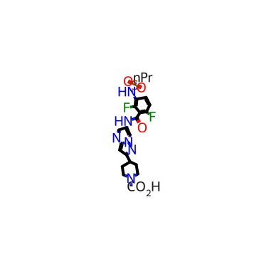 CCCS(=O)(=O)Nc1ccc(F)c(C(=O)Nc2cnc3cc(C4CCN(C(=O)O)CC4)nn3c2)c1F